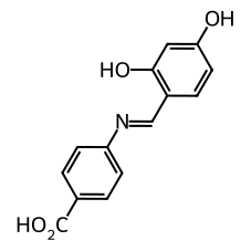 O=C(O)c1ccc(N=Cc2ccc(O)cc2O)cc1